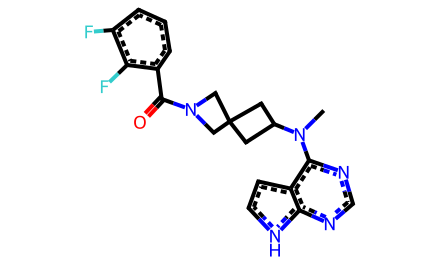 CN(c1ncnc2[nH]ccc12)C1CC2(C1)CN(C(=O)c1cccc(F)c1F)C2